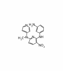 CN(c1ccncc1)c1ccc([N+](=O)[O-])c(Nc2cccc(N)c2)n1